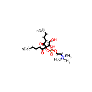 CCCCCCCCCCCCCC(=O)C(OP(=O)([O-])OCC[N+](C)(C)C)(C(=O)CCCCCCCCCCCCC)[C@@H](O)CO